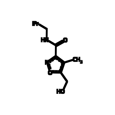 Cc1c(C(=O)NCC(C)C)noc1CO